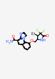 CCC1C(COc2cccc3cc(C(N)=O)c4nccn4c23)NC(=O)C1(F)F